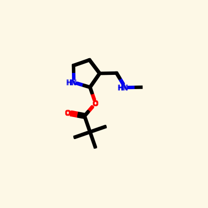 CNCC1CCNC1OC(=O)C(C)(C)C